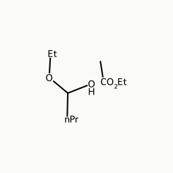 CCCC(O)OCC.CCOC(C)=O